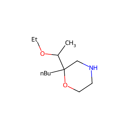 CCCCC1(C(C)OCC)CNCCO1